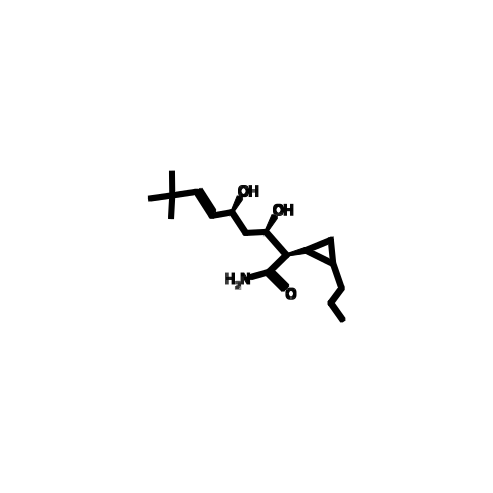 CCCC1CC1[C@@H](C(N)=O)[C@H](O)C[C@H](O)/C=C/C(C)(C)C